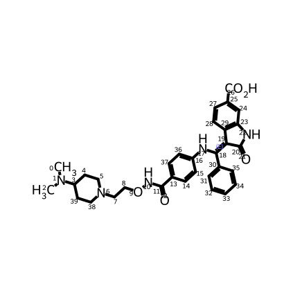 CN(C)C1CCN(CCONC(=O)c2ccc(N/C(=C3/C(=O)Nc4cc(C(=O)O)ccc43)c3ccccc3)cc2)CC1